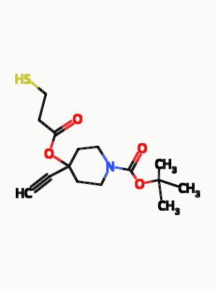 C#CC1(OC(=O)CCS)CCN(C(=O)OC(C)(C)C)CC1